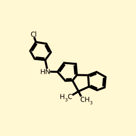 CC1(C)c2ccccc2-c2ccc(Nc3ccc(Cl)cc3)cc21